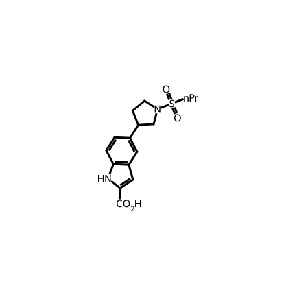 CCCS(=O)(=O)N1CCC(c2ccc3[nH]c(C(=O)O)cc3c2)C1